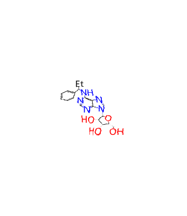 CCC(Nc1ncnc2c1ncn2[C@@H]1O[C@H](CO)[C@H](O)[C@@H]1O)c1ccccc1